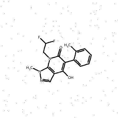 Cc1ccccc1-c1c(O)c2cnn(C)c2n(CC(F)F)c1=O